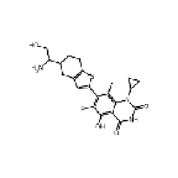 Cc1c(-c2cc3c(s2)CCC(C(N)CO)C3)c(F)c(O)c2c(=O)[nH]c(=O)n(C3CC3)c12